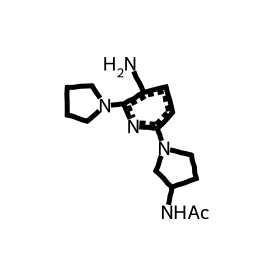 CC(=O)NC1CCN(c2ccc(N)c(N3CCCC3)n2)C1